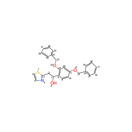 OC(Cc1nccs1)c1ccc(OCc2ccccc2)cc1OCc1ccccc1